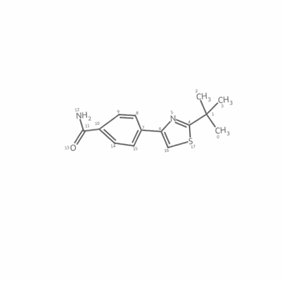 CC(C)(C)c1nc(-c2ccc(C(N)=O)cc2)cs1